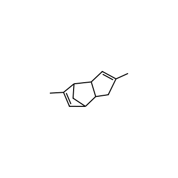 CC1=CC2C3CC(C=C3C)C2C1